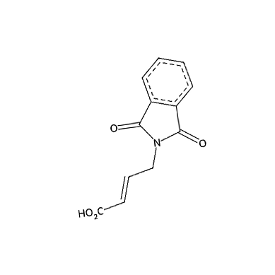 O=C(O)/C=C/CN1C(=O)c2ccccc2C1=O